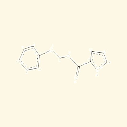 O=C(OCSc1ccccc1)c1cccs1